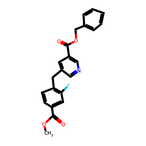 COC(=O)c1ccc(Cc2cncc(C(=O)OCc3ccccc3)c2)c(F)c1